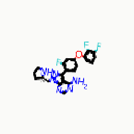 Nc1ncnc2c1c(-c1ccc(Oc3cccc(F)c3F)cc1F)nn2C[C@H]1CCCN1